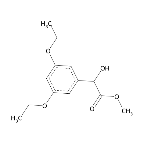 CCOc1cc(OCC)cc(C(O)C(=O)OC)c1